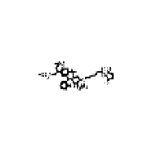 CCCCC1=CC2=C(c3ccccc3C(=O)O)c3cc4c(cc3C(C)(C)C2=C/C1=N\CCCCCC(=O)ON1C(=O)CCC1=O)N(C)C(C)(C)C=C4CS(=O)(=O)O